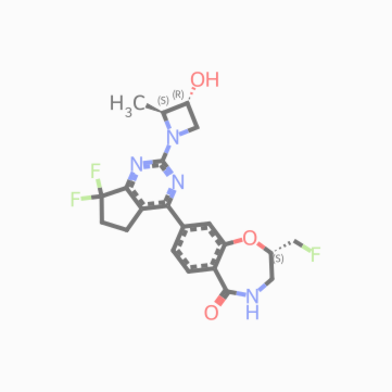 C[C@H]1[C@H](O)CN1c1nc(-c2ccc3c(c2)O[C@H](CF)CNC3=O)c2c(n1)C(F)(F)CC2